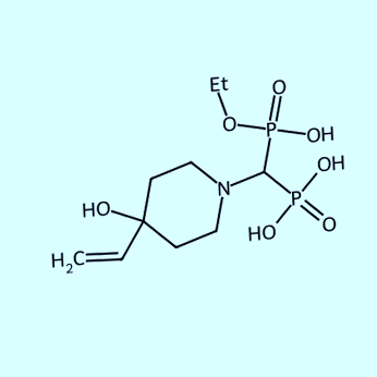 C=CC1(O)CCN(C(P(=O)(O)O)P(=O)(O)OCC)CC1